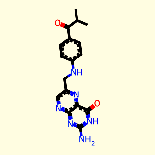 CC(C)C(=O)c1ccc(NCc2cnc3nc(N)[nH]c(=O)c3n2)cc1